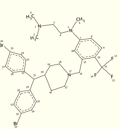 CN(C)CCN(C)c1ccc(C(F)(F)F)c(CN2CCC(C(c3ccc(Br)cc3)c3ccc(Br)cc3)CC2)c1